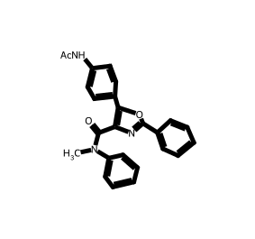 CC(=O)Nc1ccc(-c2oc(-c3ccccc3)nc2C(=O)N(C)c2ccccc2)cc1